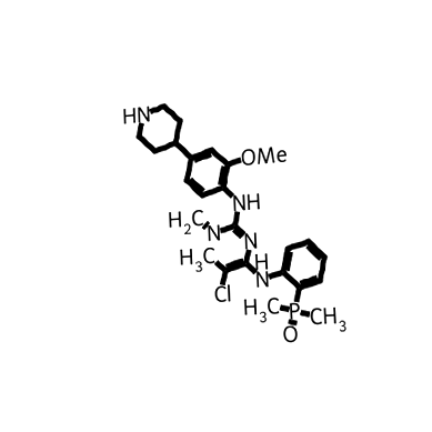 C=N/C(=N\C(Nc1ccccc1P(C)(C)=O)=C(/C)Cl)Nc1ccc(C2CCNCC2)cc1OC